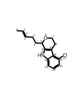 C/C=C/CC[C]1OCCc2c1[nH]c1cccc(Cl)c21